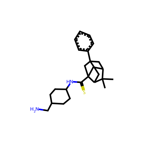 CC1(C)C2CC3(c4ccccc4)CC1C(C(=S)NC1CCC(CN)CC1)(C2)C3